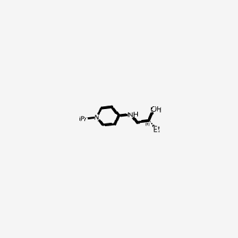 CC[C@@H](O)CNC1CCN(C(C)C)CC1